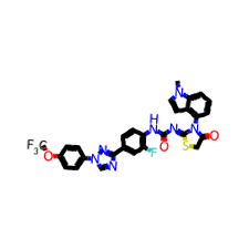 Cn1ccc2c(N3C(=O)CSC3=NC(=O)Nc3ccc(-c4ncn(-c5ccc(OC(F)(F)F)cc5)n4)cc3F)cccc21